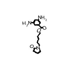 Nc1cc(N)cc(C(=O)OCCCCCN2CCCC2=O)c1